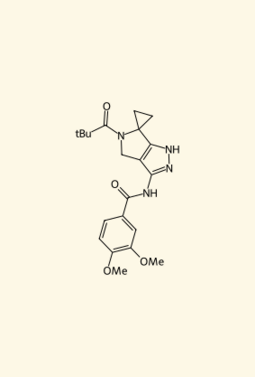 COc1ccc(C(=O)Nc2n[nH]c3c2CN(C(=O)C(C)(C)C)C32CC2)cc1OC